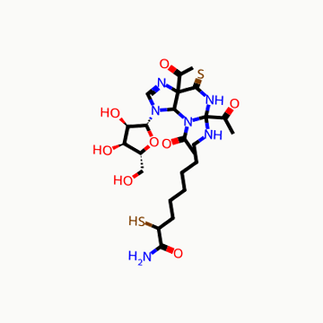 CC(=O)N1C2N([C@@H]3O[C@H](CO)[C@@H](O)[C@H]3O)C=NC2(C(C)=O)C(=S)NC1(NCCCCCCC(S)C(N)=O)C(C)=O